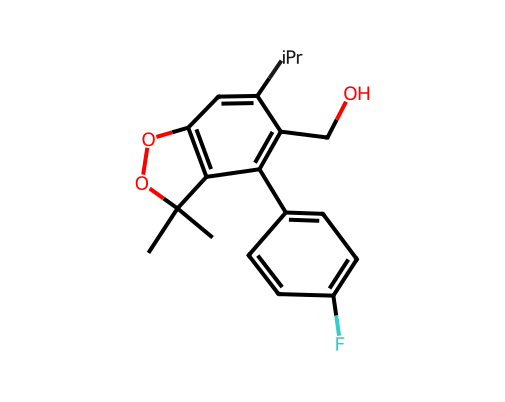 CC(C)c1cc2c(c(-c3ccc(F)cc3)c1CO)C(C)(C)OO2